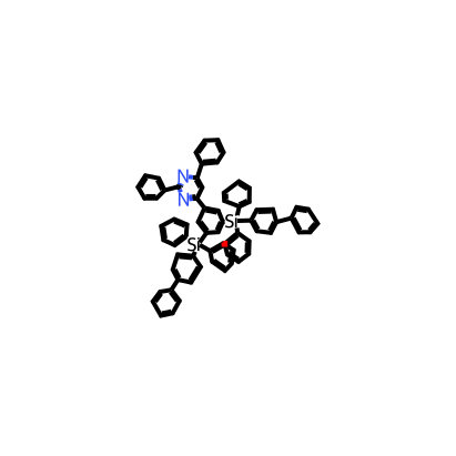 c1ccc(-c2ccc([Si](c3ccccc3)(c3ccccc3)c3cc(-c4cc(-c5ccccc5)nc(-c5ccccc5)n4)cc([Si](c4ccccc4)(c4ccccc4)c4ccc(-c5ccccc5)cc4)c3)cc2)cc1